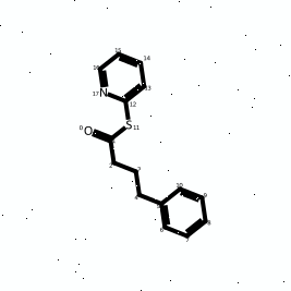 O=C(CCCc1ccccc1)Sc1ccccn1